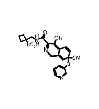 N#CC1(Oc2cccnc2)C=CC2=C(O)C(C(=O)NCC3(C(=O)O)CCC3)=NCC2=C1